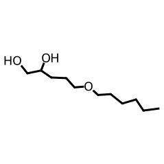 CCCCCCOCCCC(O)CO